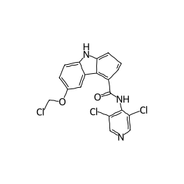 O=C(Nc1c(Cl)cncc1Cl)c1cccc2[nH]c3ccc(OCCl)cc3c12